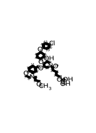 COCCCN1CCOc2ccc(COC3CN(C(=O)CCCCON(O)O)CC(O)C3OC3CCC(Oc4ccc(Cl)cc4)CC3)cc21